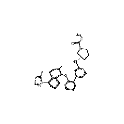 Cc1ccc2c(-n3nccc3C)cccc2c1Oc1ncccc1-c1ccnc(N[C@H]2CCCN(C(=O)OC(C)(C)C)C2)n1